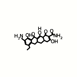 CCc1cc(CN)c(O)c2c1CC1CC3CC(O)=C(C(N)=O)C(=O)C3C(O)=C1C2=O